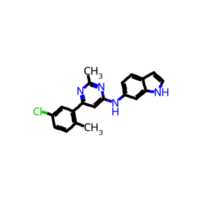 Cc1nc(Nc2ccc3cc[nH]c3c2)cc(-c2cc(Cl)ccc2C)n1